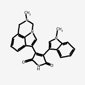 CN1Cc2cccc3c(C4=C(c5cn(C)c6ccccc56)C(=O)NC4=O)cn(c23)C1